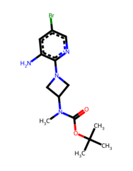 CN(C(=O)OC(C)(C)C)C1CN(c2ncc(Br)cc2N)C1